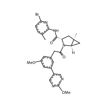 COc1cc(CC(=O)N2[C@H](C(=O)Nc3nc(Br)ccc3C)C[C@@]3(C)C[C@@H]23)cc(-c2cnc(OC)nc2)c1